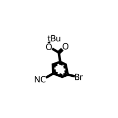 CC(C)(C)OC(=O)c1cc(Br)cc(C#N)c1